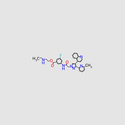 CCNCCOC(=O)c1cc(F)cc(NC(=O)Cn2cc(-c3ccnc4ccccc34)c(-c3cccc(C)n3)n2)c1